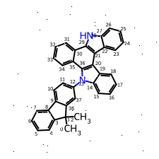 CC1(C)c2ccccc2-c2ccc(-n3c4ccccc4c4c5c6ccccc6[nH]c5c5ccccc5c43)cc21